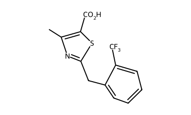 Cc1nc(Cc2ccccc2C(F)(F)F)sc1C(=O)O